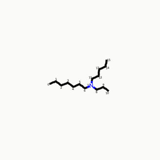 CCCCCCCN(CCC)CCCCC